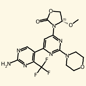 CO[C@H]1COC(=O)N1c1cc(-c2cnc(N)nc2C(F)(F)F)nc(N2CCOCC2)n1